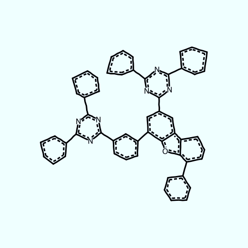 c1ccc(-c2nc(-c3ccccc3)nc(-c3cccc(-c4cc(-c5nc(-c6ccccc6)nc(-c6ccccc6)n5)cc5c4oc4c(-c6ccccc6)cccc45)c3)n2)cc1